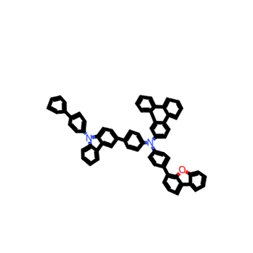 c1ccc(-c2ccc(-n3c4ccccc4c4cc(-c5ccc(N(c6ccc(-c7cccc8c7oc7ccccc78)cc6)c6ccc7c8ccccc8c8ccccc8c7c6)cc5)ccc43)cc2)cc1